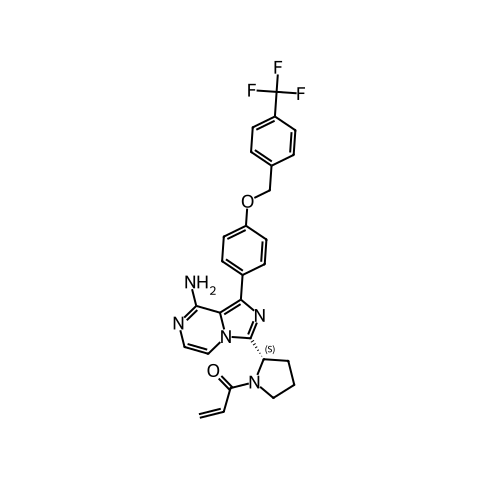 C=CC(=O)N1CCC[C@H]1c1nc(-c2ccc(OCc3ccc(C(F)(F)F)cc3)cc2)c2c(N)nccn12